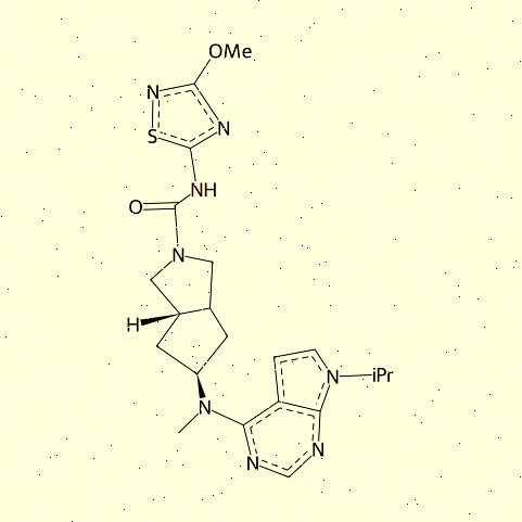 COc1nsc(NC(=O)N2CC3C[C@@H](N(C)c4ncnc5c4ccn5C(C)C)C[C@@H]3C2)n1